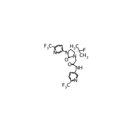 CC(C)(F)[C@H]1CN(c2ccc(C(F)(F)F)nc2)C(=O)N1CC(=O)Nc1ccc(C(F)(F)F)nc1